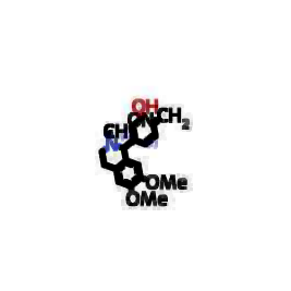 C=C(/C=C\C(=C/CO)C1c2cc(OC)c(OC)cc2CCN1C)N=O